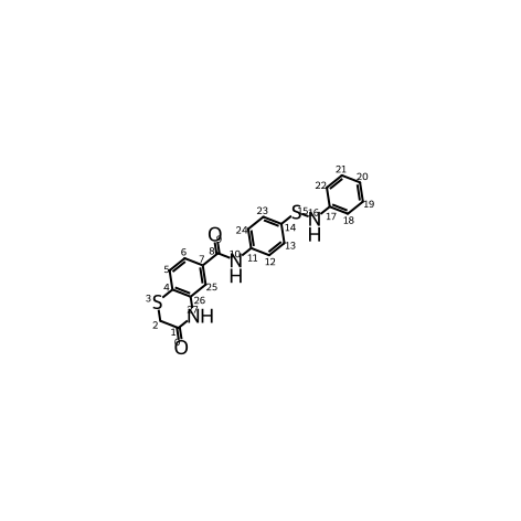 O=C1CSc2ccc(C(=O)Nc3ccc(SNc4ccccc4)cc3)cc2N1